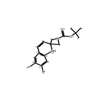 CC(C)(C)OC(=O)N1CC2(C=Cc3cc(F)c(Br)cc3N2)C1